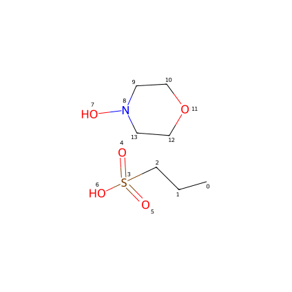 CCCS(=O)(=O)O.ON1CCOCC1